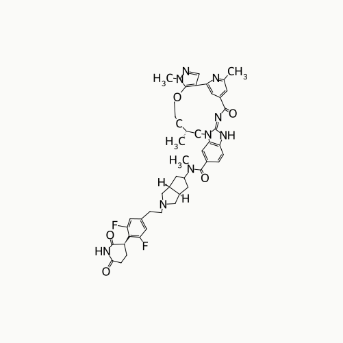 Cc1cc2cc(n1)-c1cnn(C)c1OCCC[C@@H](C)CN1/C(=N/C2=O)Nc2ccc(C(=O)N(C)C3C[C@H]4CN(CCc5cc(F)c([C@H]6CCC(=O)NC6=O)c(F)c5)C[C@@H]4C3)cc21